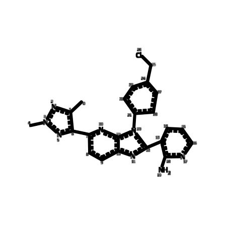 Cc1nn(C)nc1-c1ccc2nc(-c3cccnc3N)n(-c3ccc(CCl)cc3)c2n1